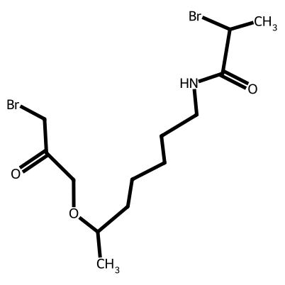 CC(CCCCCNC(=O)C(C)Br)OCC(=O)CBr